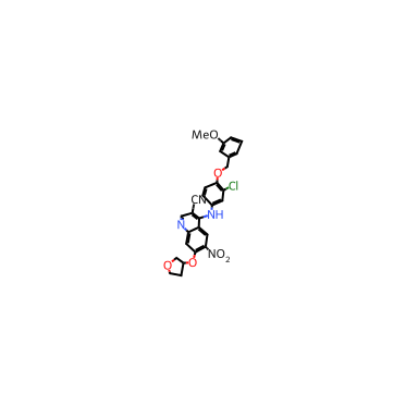 COc1cccc(COc2ccc(Nc3c(C#N)cnc4cc(OC5CCOC5)c([N+](=O)[O-])cc34)cc2Cl)c1